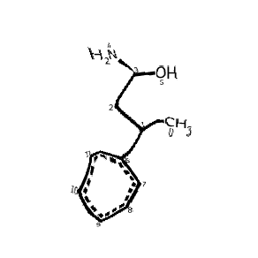 CC(C[C@@H](N)O)c1ccccc1